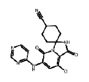 N#CC1CCC2(CC1)NC(=O)c1c(Cl)cc(Nc3ccncn3)c(=O)n12